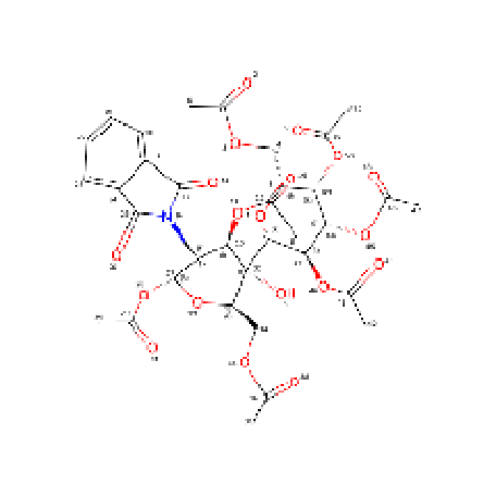 CC(=O)OC[C@H]1O[C@@H]([C@]2(O)[C@H](OC(C)=O)[C@H](N3C(=O)c4ccccc4C3=O)[C@@H](OC(C)=O)O[C@@H]2COC(C)=O)[C@H](OC(C)=O)[C@@H](OC(C)=O)[C@H]1OC(C)=O